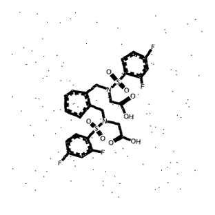 O=C(O)CN(Cc1ccccc1CN(CC(=O)O)S(=O)(=O)c1ccc(F)cc1F)S(=O)(=O)c1ccc(F)cc1F